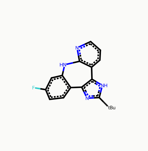 CC(C)(C)c1nc2c([nH]1)-c1cccnc1Nc1cc(F)ccc1-2